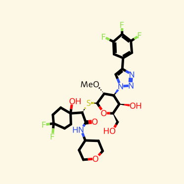 CO[C@@H]1[C@@H](n2cc(-c3cc(F)c(F)c(F)c3)nn2)[C@@H](O)[C@@H](CO)O[C@H]1S[C@H](C(=O)NC1CCOCC1)C1(O)CCC(F)(F)CC1